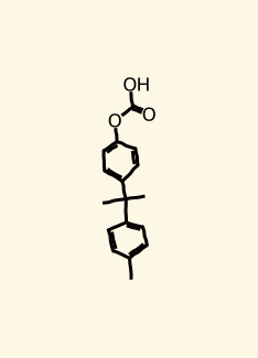 Cc1ccc(C(C)(C)c2ccc(OC(=O)O)cc2)cc1